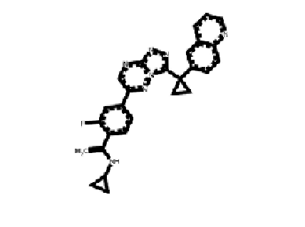 C=C(NC1CC1)c1ccc(-c2cnc3nnc(C4(c5ccc6ncccc6c5)CC4)n3n2)cc1F